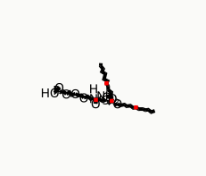 CCCCCCCCCCCCOC[C@H](CSC[C@H](N)C(=O)NCCOCCOCCOCC[P@@](C)(=O)O)OC(=O)CCCCCCCCCCC